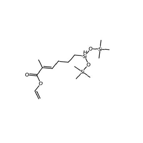 C=COC(=O)C(C)=CCCC[SiH](O[Si](C)(C)C)O[Si](C)(C)C